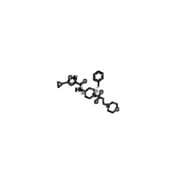 O=C(N[C@@H]1CCN(S(=O)(=O)CCN2CCOCC2)[C@@H](Cc2ccccc2)C1)c1cc(C2CC2)on1